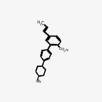 C/C=C/c1ccc(C(=O)O)c(-c2ccc(C3CCC(CCC)CC3)cc2)c1